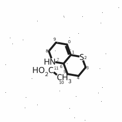 C1=C2SCCCC2NCC1.CC(=O)O